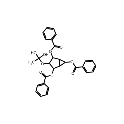 CC(O)(O)OC1C(OC(=O)c2ccccc2)C2C(OC(=O)c3ccccc3)C2C1OC(=O)c1ccccc1